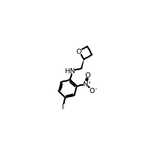 O=[N+]([O-])c1cc(I)ccc1NC[C@@H]1CCO1